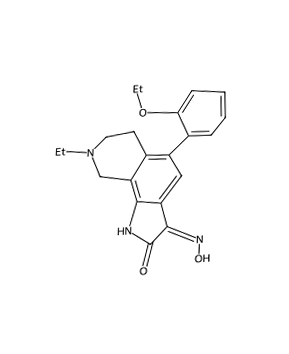 CCOc1ccccc1-c1cc2c(c3c1CCN(CC)C3)NC(=O)/C2=N\O